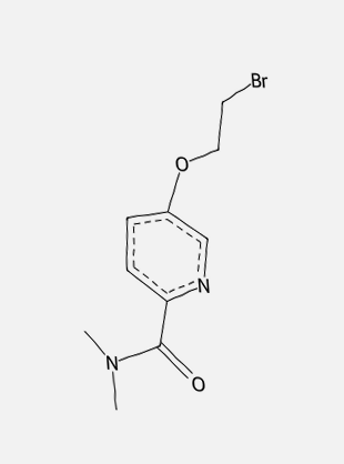 CN(C)C(=O)c1ccc(OCCBr)cn1